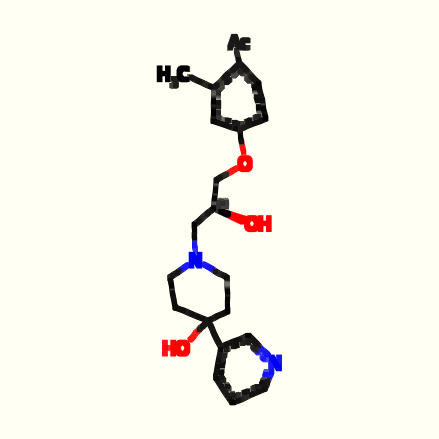 CC(=O)c1ccc(OC[C@@H](O)CN2CCC(O)(c3cccnc3)CC2)cc1C